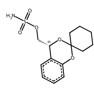 NS(=O)(=O)OC[C@@H]1OC2(CCCCC2)Oc2ccccc21